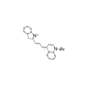 CC(C)N1C=C/C(=C\C=CC2=[N+](C)c3ccccc3C2)c2ccccc21